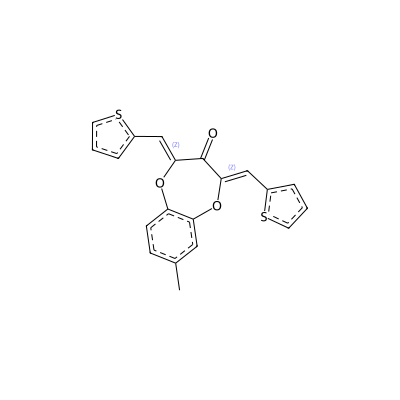 Cc1ccc2c(c1)O/C(=C\c1cccs1)C(=O)/C(=C/c1cccs1)O2